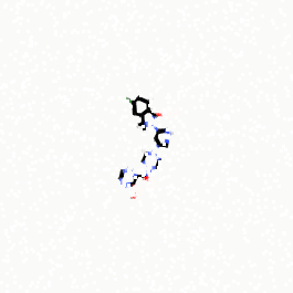 COc1nccnc1C(=O)N1CCN(c2cncc(N3C(O)c4ccc(Cl)cc4C3(C)C)c2)CC1